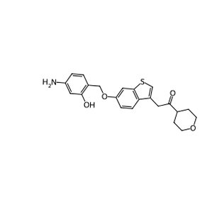 Nc1ccc(COc2ccc3c(CC(=O)C4CCOCC4)csc3c2)c(O)c1